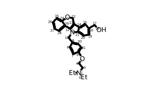 CCN(CC)CCOc1ccc(Cn2c3c(c4cc(CO)ccc42)COc2ccccc2-3)cc1